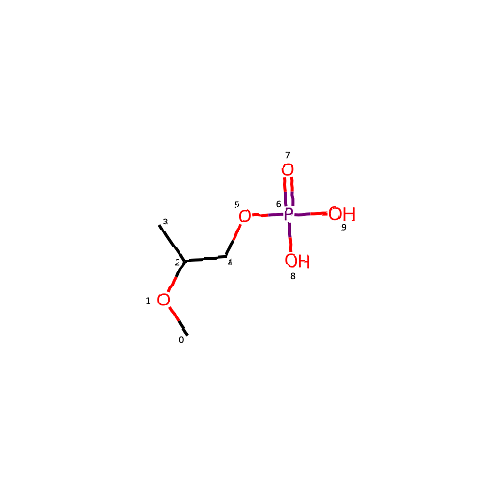 COC(C)COP(=O)(O)O